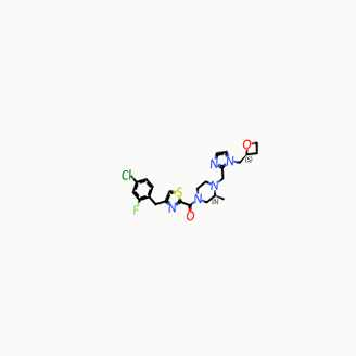 C[C@H]1CN(C(=O)c2nc(Cc3ccc(Cl)cc3F)cs2)CCN1Cc1nccn1C[C@@H]1CCO1